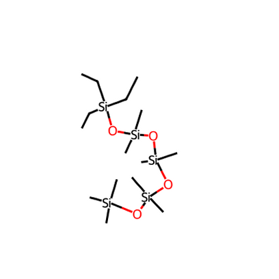 CC[Si](CC)(CC)O[Si](C)(C)O[Si](C)(C)O[Si](C)(C)O[Si](C)(C)C